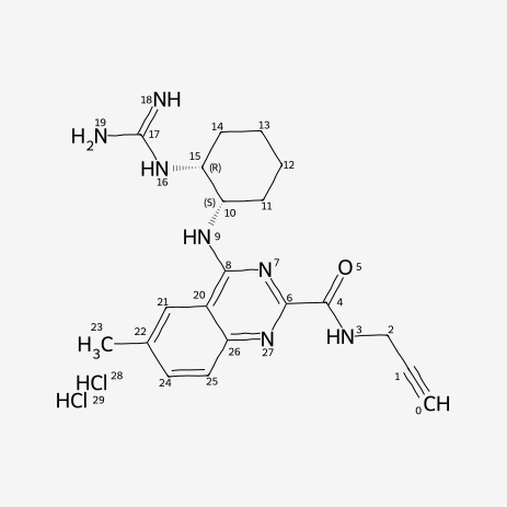 C#CCNC(=O)c1nc(N[C@H]2CCCC[C@H]2NC(=N)N)c2cc(C)ccc2n1.Cl.Cl